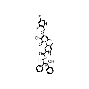 CC1=CN(C)C(C(=O)ON[C@H](c2ccccc2)[C@@H](O)c2ccccc2)CC1n1c(C)cc(OCc2ncc(F)cc2F)c(Cl)c1=O